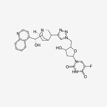 O=c1[nH]c(=O)n(C2CC(O)C(Cn3cc(C4C[N@@]5CCC4C[C@H]5[C@H](O)c4ccnc5ccccc45)nn3)O2)cc1F